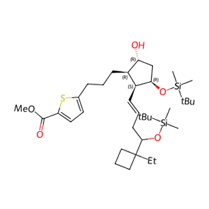 CCC1(C(CC=C[C@H]2[C@@H](CCCc3ccc(C(=O)OC)s3)[C@H](O)C[C@H]2O[Si](C)(C)C(C)(C)C)O[Si](C)(C)C(C)(C)C)CCC1